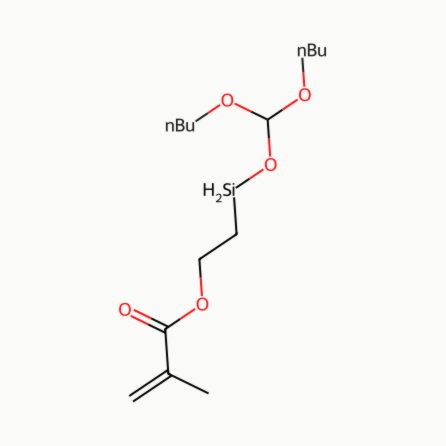 C=C(C)C(=O)OCC[SiH2]OC(OCCCC)OCCCC